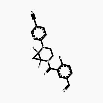 N#Cc1ccc(N2CCN(C(=O)c3cc(C=O)ccc3F)[C@@H]3C[C@@H]32)nc1